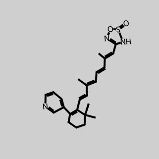 CC(/C=C/C1=C(c2cccnc2)CCCC1(C)C)=C\C=C\C(C)=C\C1=NOS(=O)N1